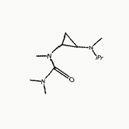 CC(C)N(C)C1CC1N(C)C(=O)N(C)C